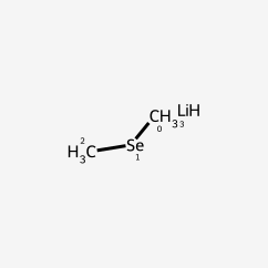 C[Se]C.[LiH]